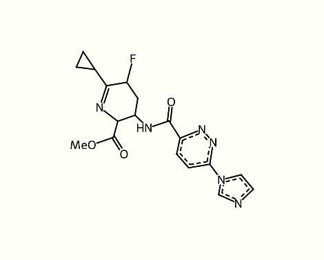 COC(=O)C1N=C(C2CC2)C(F)CC1NC(=O)c1ccc(-n2ccnc2)nn1